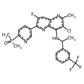 Cc1nc2cc(F)c(-c3ccc(P(C)(C)=O)nc3)nc2c(NC(C)c2cccc(C(F)(F)F)c2)c1Cl